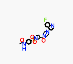 CC(=O)Nc1ccc(S(=O)(=O)N2CCC(C(=O)N3CCN(c4ccnc5cc(F)ccc45)CC3)C2)cc1